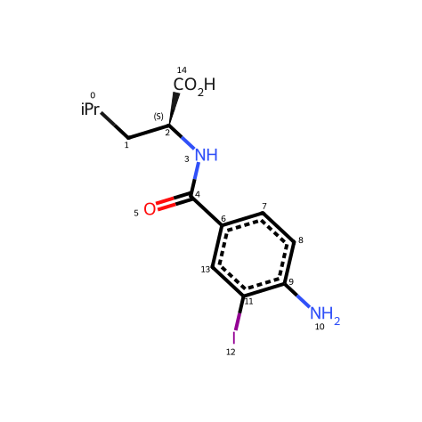 CC(C)C[C@H](NC(=O)c1ccc(N)c(I)c1)C(=O)O